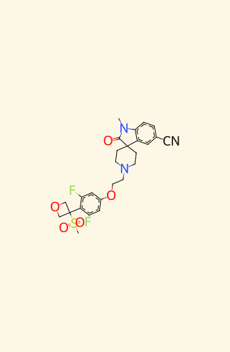 CN1C(=O)C2(CCN(CCOc3cc(F)c(C4(S(C)(=O)=O)COC4)c(F)c3)CC2)c2cc(C#N)ccc21